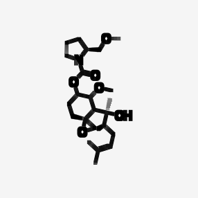 COC[C@@H]1CCCN1C(=O)OC1CC[C@]2(CO2)C([C@@](C)(O)[C@H](C)CC=C(C)C)C1OC